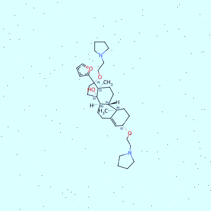 C[C@]12CC[C@H]3[C@@H](CCC4=C[C@@H](OCCN5CCCC5)CC[C@@]43C)[C@@]1(O)CC[C@@]2(OCCN1CCCC1)c1ccco1